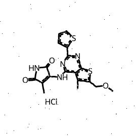 COCc1sc2nc(-c3cccs3)nc(NC3=C(C)C(=O)NC3=O)c2c1C.Cl